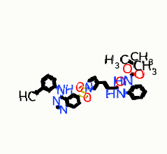 C#Cc1cccc(Nc2ncnc3ccc(S(=O)(=O)n4ccc(C=CC(=O)Nc5ccccc5NC(=O)OC(C)(C)C)c4)cc23)c1